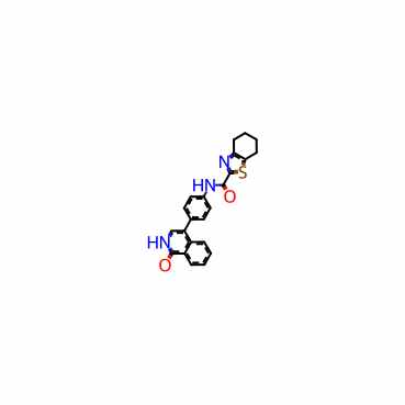 O=C(Nc1ccc(-c2c[nH]c(=O)c3ccccc23)cc1)c1nc2c(s1)CCCC2